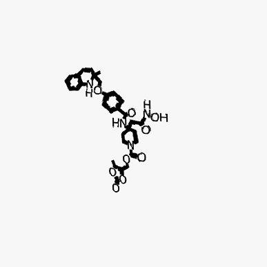 Cc1oc(=O)oc1COC(=O)N1CCC(CC(=O)NO)(NC(=O)c2ccc(OCC3(C)C=Cc4ccccc4N3)cc2)CC1